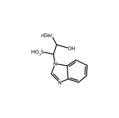 CCCCCCCCCCC(O)C(n1cnc2ccccc21)S(=O)(=O)O